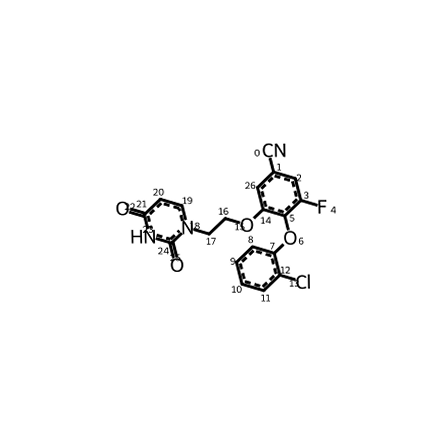 N#Cc1cc(F)c(Oc2ccccc2Cl)c(OCCn2ccc(=O)[nH]c2=O)c1